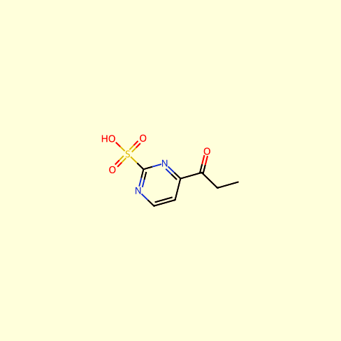 CCC(=O)c1ccnc(S(=O)(=O)O)n1